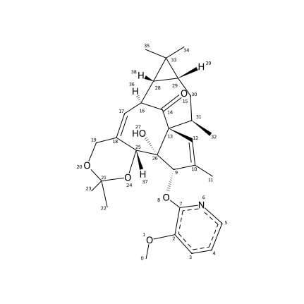 COc1cccnc1O[C@H]1C(C)=C[C@]23C(=O)[C@@H](C=C4COC(C)(C)O[C@H]4[C@]12O)[C@H]1[C@@H](C[C@H]3C)C1(C)C